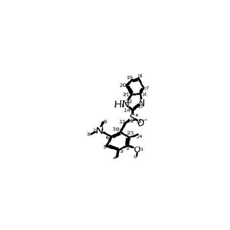 COc1c(C)cc(N(C)C)c(C[S+]([O-])c2nc3ccccc3[nH]2)c1C